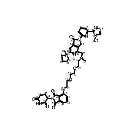 CCn1cnnc1-c1cccc(N2Cc3c(cc([N+]4(C)CCC[C@H]4C)nc3CN(C)CCOCCOCCNc3cccc4c3C(=O)N(C3CCC(=O)NC3=O)C4=O)C2=O)n1